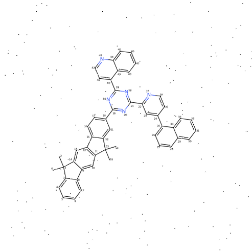 CC1(C)c2ccccc2-c2cc3c(cc21)-c1ccc(-c2nc(-c4cc(-c5cccc6ccccc56)ccn4)nc(-c4ccnc5ccccc45)n2)cc1C3(C)C